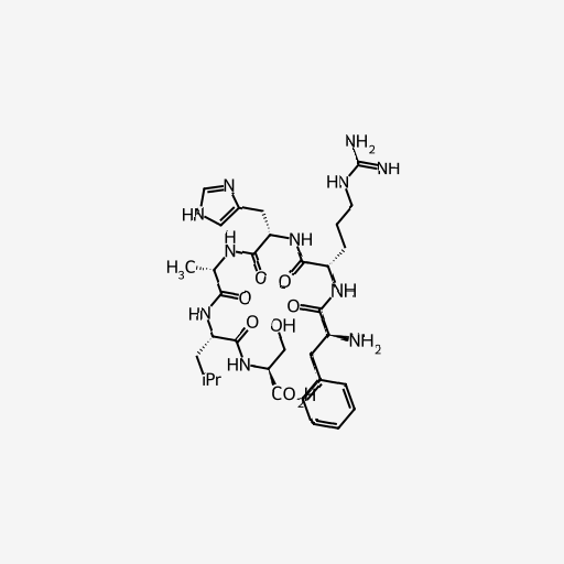 CC(C)C[C@H](NC(=O)[C@H](C)NC(=O)[C@H](Cc1c[nH]cn1)NC(=O)[C@H](CCCNC(=N)N)NC(=O)[C@@H](N)Cc1ccccc1)C(=O)N[C@@H](CO)C(=O)O